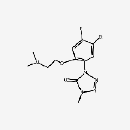 CCc1cc(-n2nnn(C)c2=O)c(OCCN(C)C)cc1F